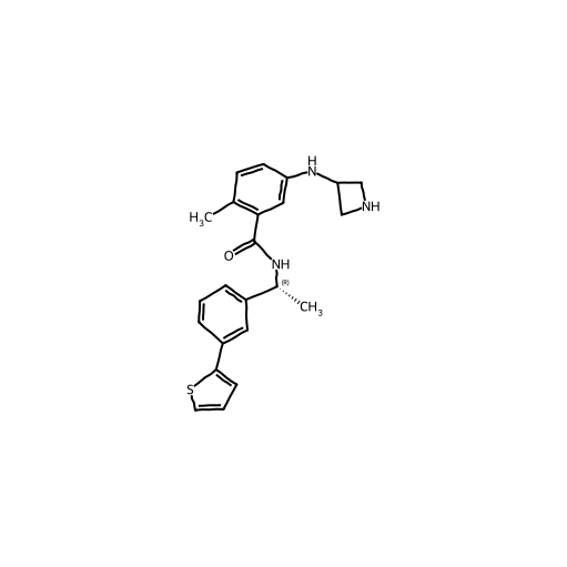 Cc1ccc(NC2CNC2)cc1C(=O)N[C@H](C)c1cccc(-c2cccs2)c1